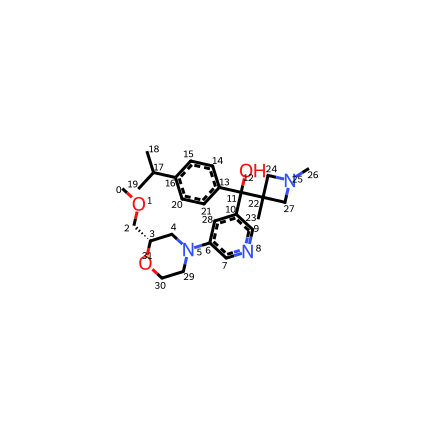 COC[C@@H]1CN(c2cncc(C(O)(c3ccc(C(C)C)cc3)C3(C)CN(C)C3)c2)CCO1